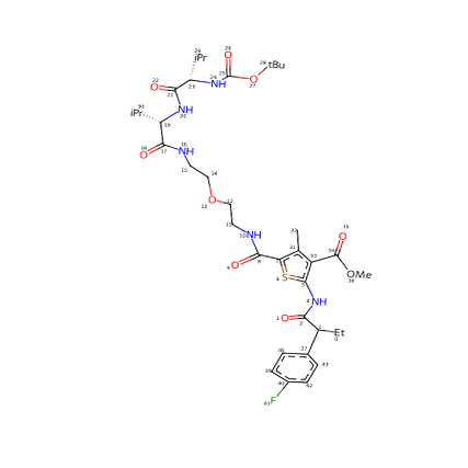 CCC(C(=O)Nc1sc(C(=O)NCCOCCNC(=O)[C@@H](NC(=O)[C@@H](NC(=O)OC(C)(C)C)C(C)C)C(C)C)c(C)c1C(=O)OC)c1ccc(F)cc1